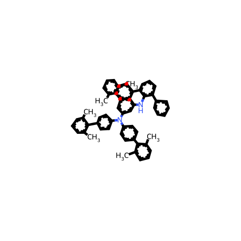 Cc1cccc(C)c1-c1ccc(N(c2ccc(-c3c(C)cccc3C)cc2)c2cc(Nc3c(-c4ccccc4)cccc3-c3ccccc3)cc(-c3c(C)cccc3C)c2)cc1